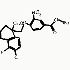 CC(C)(C)OC(=O)c1ccc(OCC2(C=O)CCCc3c2ccc(Cl)c3F)c([N+](=O)[O-])c1